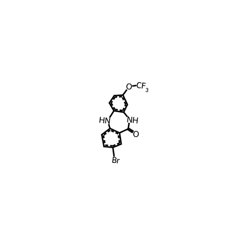 O=C1Nc2cc(OC(F)(F)F)ccc2Nc2ccc(Br)cc21